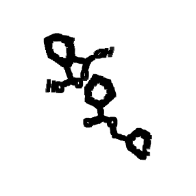 O=C(O)c1ccccc1C(=O)O.O=C(OCc1ccccc1)c1ccccc1